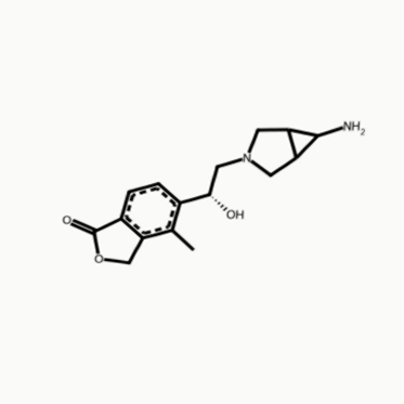 Cc1c([C@@H](O)CN2CC3C(N)C3C2)ccc2c1COC2=O